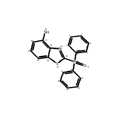 O=P(c1ccccc1)(c1ccccc1)c1nc2c(S)cccc2s1